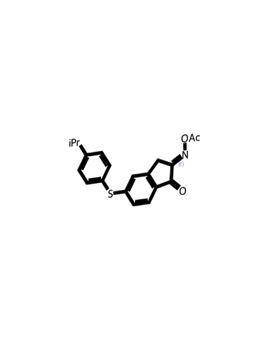 CC(=O)O/N=C1\Cc2cc(Sc3ccc(C(C)C)cc3)ccc2C1=O